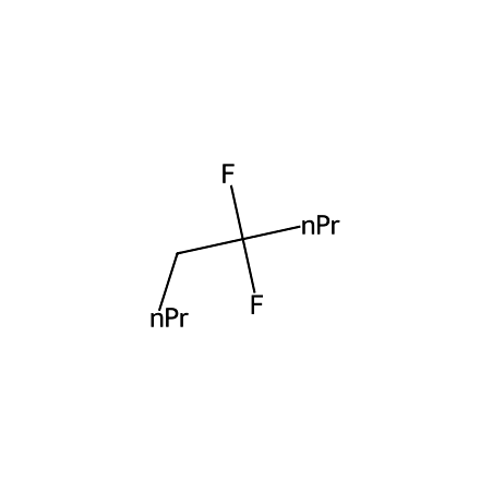 CCCCC(F)(F)CCC